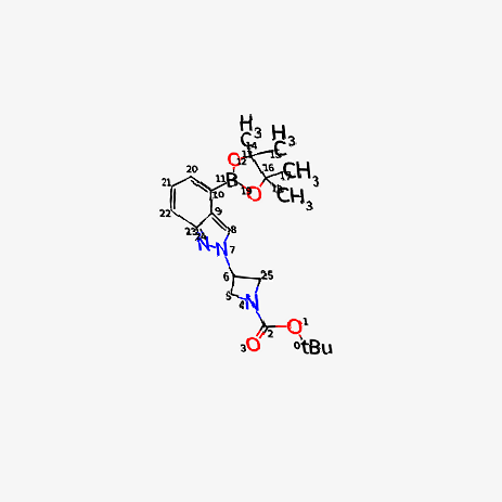 CC(C)(C)OC(=O)N1CC(n2cc3c(B4OC(C)(C)C(C)(C)O4)cccc3n2)C1